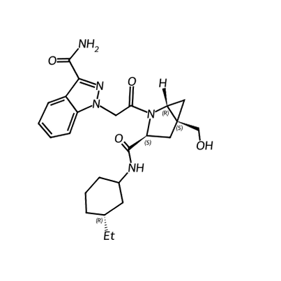 CC[C@@H]1CCCC(NC(=O)[C@@H]2C[C@@]3(CO)C[C@H]3N2C(=O)Cn2nc(C(N)=O)c3ccccc32)C1